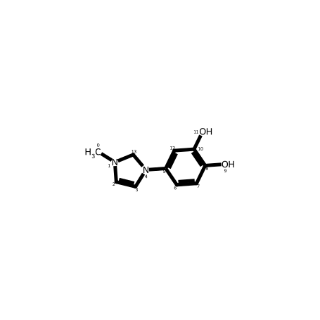 CN1C=CN(c2ccc(O)c(O)c2)C1